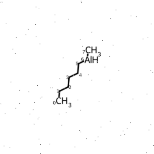 CCCCC[CH2][AlH][CH3]